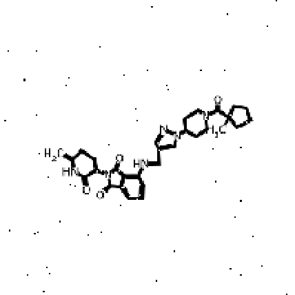 C=C1CCC(N2C(=O)c3cccc(NCc4cnn(C5CCN(C(=O)C6(C)CCCC6)CC5)c4)c3C2=O)C(=O)N1